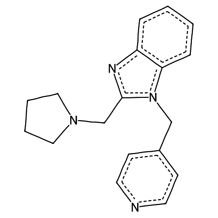 c1ccc2c(c1)nc(CN1CCCC1)n2Cc1ccncc1